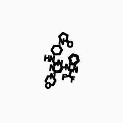 O=C1CCCN1[C@H]1CC[C@@H](Nc2nc(N3CCOCC3)cc(-n3c(C(F)F)nc4ccccc43)n2)CC1